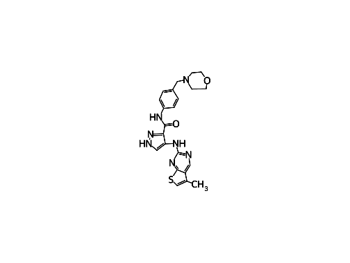 Cc1csc2nc(Nc3c[nH]nc3C(=O)Nc3ccc(CN4CCOCC4)cc3)ncc12